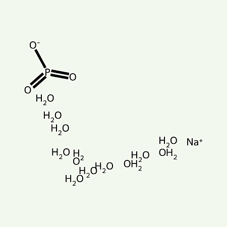 O.O.O.O.O.O.O.O.O.O.O.O.O=P(=O)[O-].[Na+]